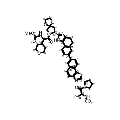 COC(=O)NC(C(=O)N1CC2(C[C@H]1c1nc3c([nH]1)-c1ccc(-c4ccc5c(ccc6nc([C@@H]7CCCN7C(=O)C(NC(=O)O)C(C)C)[nH]c65)c4)cc1CC3)OCCO2)C1CCOCC1